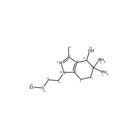 BC1(P)CCc2c(c(C)nn2CCSCC)C1O